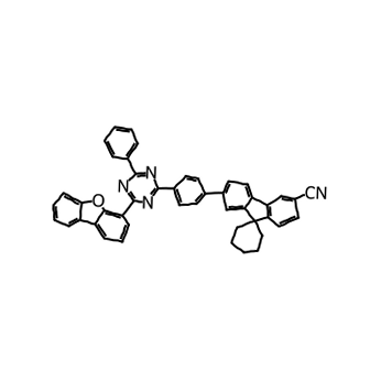 N#Cc1ccc2c(c1)-c1ccc(-c3ccc(-c4nc(-c5ccccc5)nc(-c5cccc6c5oc5ccccc56)n4)cc3)cc1C21CCCCC1